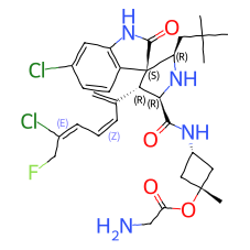 C=C(/C=C\C=C(\Cl)CF)[C@H]1[C@H](C(=O)N[C@H]2C[C@@](C)(OC(=O)CN)C2)N[C@H](CC(C)(C)C)[C@]12C(=O)Nc1cc(Cl)ccc12